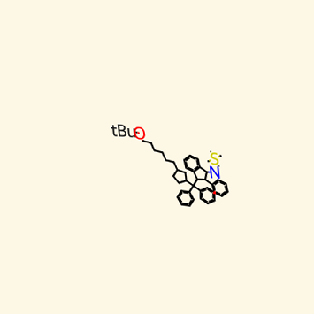 CC(C)(C)OCCCCCCC1CCC(C(c2ccccc2)(c2ccccc2)C2c3ccccc3C3C2c2ccccc2N3CS(C)(C)C)C1